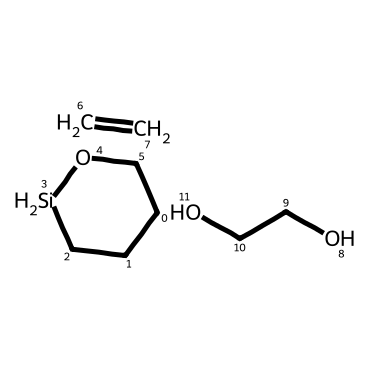 C1CC[SiH2]OC1.C=C.OCCO